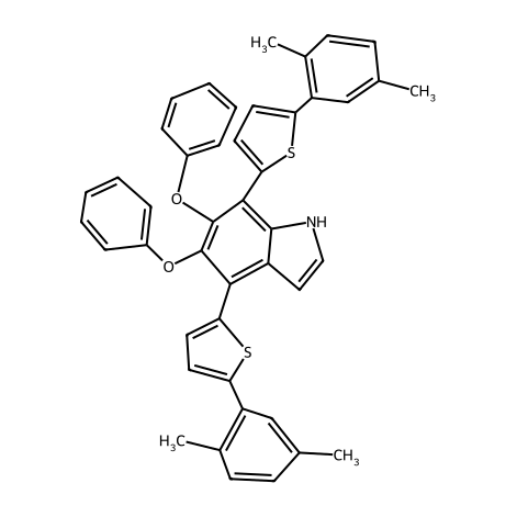 Cc1ccc(C)c(-c2ccc(-c3c(Oc4ccccc4)c(Oc4ccccc4)c(-c4ccc(-c5cc(C)ccc5C)s4)c4[nH]ccc34)s2)c1